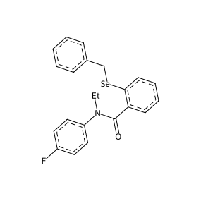 CCN(C(=O)c1ccccc1[Se]Cc1ccccc1)c1ccc(F)cc1